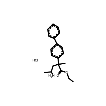 CCOC(=O)C(C)(CC(C)N)c1ccc(-c2ccccc2)cc1.Cl